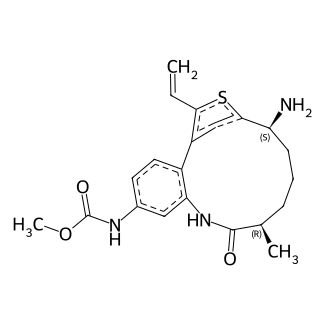 C=Cc1sc2cc1-c1ccc(NC(=O)OC)cc1NC(=O)[C@H](C)CCC[C@@H]2N